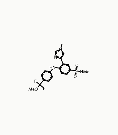 CNS(=O)(=O)c1ccc(Nc2ccc(C(F)(F)OC)cc2)c(-c2cn(C)cn2)c1